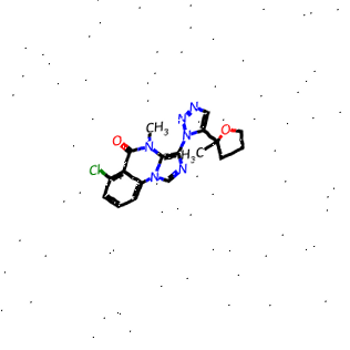 Cn1c(=O)c2c(Cl)cccc2n2cnc(-n3nncc3C3(C)CCCO3)c12